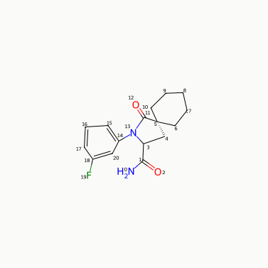 NC(=O)C1C[C@]2(C[CH]CCC2)C(=O)N1c1cccc(F)c1